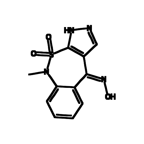 CN1c2ccccc2/C(=N\O)c2cn[nH]c2S1(=O)=O